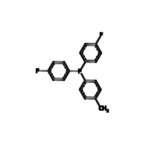 Cc1ccc(P(c2ccc(F)cc2)c2ccc(F)cc2)cc1